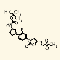 CC(C)(C)OC(=O)N[C@H]1CCN(c2ccc(N3C[C@H](COS(C)(=O)=O)OC3=O)cc2F)C1